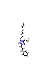 CCCCCCCCCn1cc(CCCc2ccccc2)nc1CCC